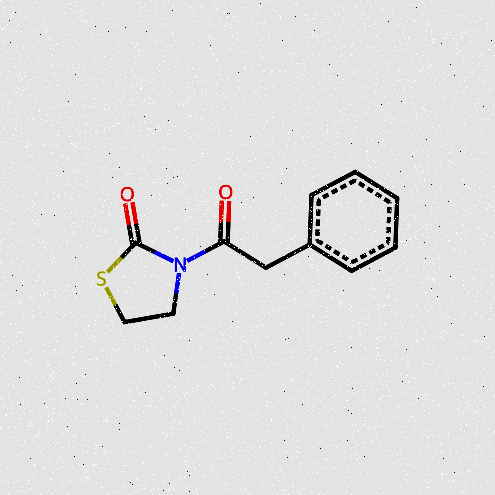 O=C(Cc1ccccc1)N1CCSC1=O